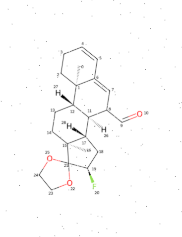 C[C@]12CCC=CC1=CC(C=O)[C@@H]1[C@@H]2CC[C@@]2(C)[C@H]1C[C@@H](F)C21OCCO1